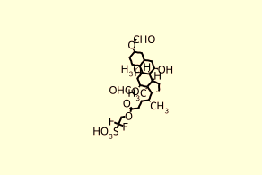 C[C@H](CCC(=O)OCC(F)(F)S(=O)(=O)O)[C@H]1CC[C@H]2[C@@H]3[C@H](O)CC4C[C@H](OC=O)CC[C@]4(C)[C@H]3C[C@H](OC=O)[C@]12C